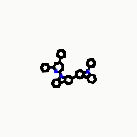 C1=CC(c2ccccc2)=CC(c2ccccc2)=NC=1n1c2ccccc2c2ccc(-c3ccc4c(c3)c3c(n4-c4ccccc4)C=CCC3)cc21